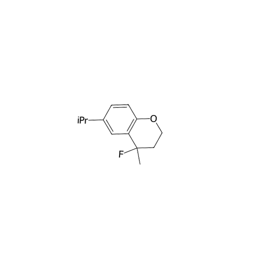 CC(C)c1ccc2c(c1)C(C)(F)CCO2